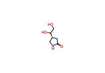 O=C1C[C@H](C(O)CO)CN1